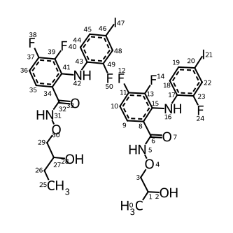 CC(O)CONC(=O)c1ccc(F)c(F)c1Nc1ccc(I)cc1F.CCC(O)CONC(=O)c1ccc(F)c(F)c1Nc1ccc(I)cc1F